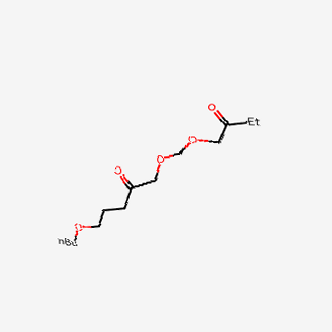 CCCCOCCCC(=O)COCOCC(=O)CC